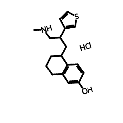 CNCC(CC1CCCc2cc(O)ccc21)c1ccsc1.Cl